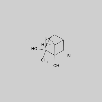 CC1(O)CCC2CC1(O)C2(C)C.[B]